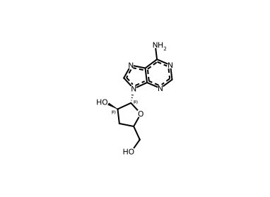 Nc1ncnc2c1ncn2[C@@H]1OC(CO)C[C@H]1O